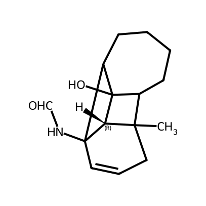 CC12CC=CC3(NC=O)C4CCCCC1C4(O)[C@H]23